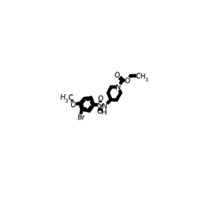 CCOC(=O)N1CCC(NS(=O)(=O)c2ccc(OC)c(Br)c2)CC1